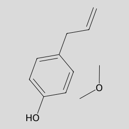 C=CCc1ccc(O)cc1.COC